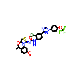 COc1ccc(C(C)C)c(N2C(=O)CS/C2=N\C(=O)Nc2ccc(-c3ncn(-c4ccc(OC(F)(F)F)cc4)n3)cc2Cl)c1